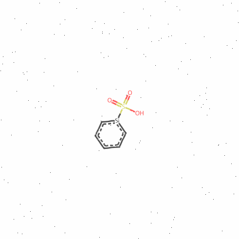 O=S(=O)(O)[si]1ccccc1